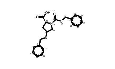 O=C(O)[C@@H]1CC(SCc2ccccc2)CN1C(=O)OCc1ccccc1